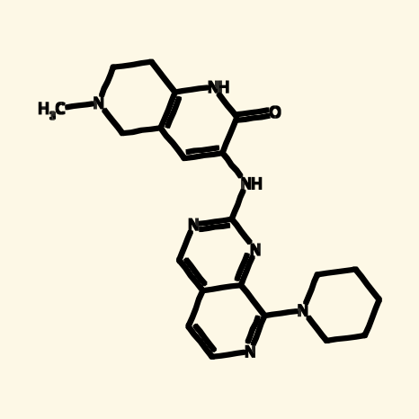 CN1CCc2[nH]c(=O)c(Nc3ncc4ccnc(N5CCCCC5)c4n3)cc2C1